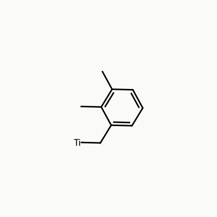 Cc1cccc([CH2][Ti])c1C